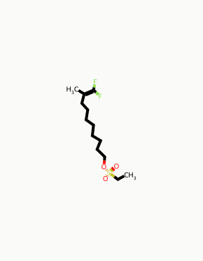 CCS(=O)(=O)OCCCCCCCCC(C)=C(F)F